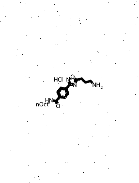 CCCCCCCCNC(=O)c1ccc(-c2noc(CCCN)n2)cc1.Cl